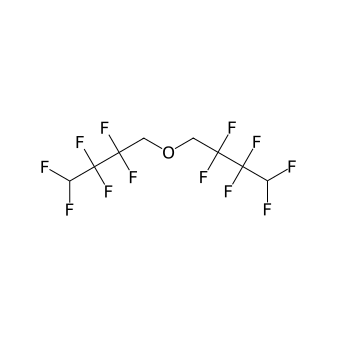 FC(F)C(F)(F)C(F)(F)COCC(F)(F)C(F)(F)C(F)F